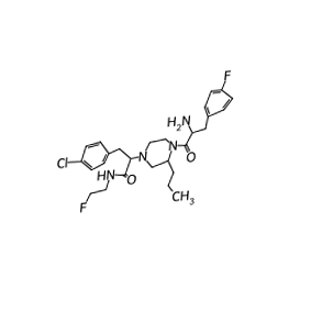 CCCC1CN(C(Cc2ccc(Cl)cc2)C(=O)NCCF)CCN1C(=O)C(N)Cc1ccc(F)cc1